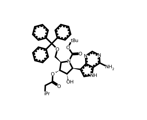 CC(C)CC(=O)O[C@H]1[C@@H](O)[C@H](c2c[nH]c3c(N)ncnc23)N(C(=O)OC(C)(C)C)[C@@H]1COC(c1ccccc1)(c1ccccc1)c1ccccc1